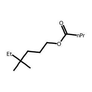 CCCC(=O)OCCCC(C)(C)CC